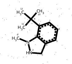 CN1NCc2cccc(C(C)(C)C)c21